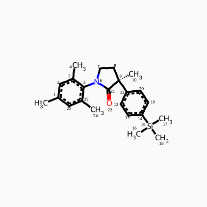 Cc1cc(C)c(N2CC[C@@](C)(c3ccc([Si](C)(C)C)cc3)C2=O)c(C)c1